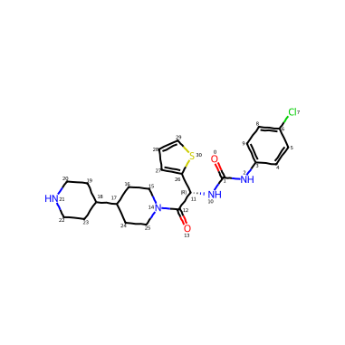 O=C(Nc1ccc(Cl)cc1)N[C@H](C(=O)N1CCC(C2CCNCC2)CC1)c1cccs1